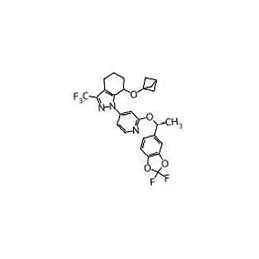 C[C@H](Oc1cc(-n2nc(C(F)(F)F)c3c2C(OC24CC(C2)C4)CCC3)ccn1)c1ccc2c(c1)OC(F)(F)O2